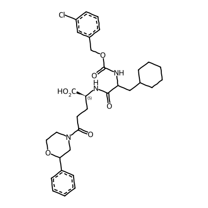 O=C(NC(CC1CCCCC1)C(=O)N[C@@H](CCC(=O)N1CCOC(c2ccccc2)C1)C(=O)O)OCc1cccc(Cl)c1